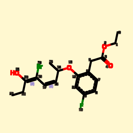 CCOC(=O)Cc1ccc(F)cc1OC(C)/C=C\C(Br)=C(\O)CC